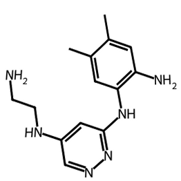 Cc1cc(N)c(Nc2cc(NCCN)cnn2)cc1C